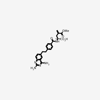 C=C(C[C@H](NC(=O)c1ccc(CCc2ccc3nc(N)nc(N)c3c2)cc1)C(=O)O)C(=O)OC